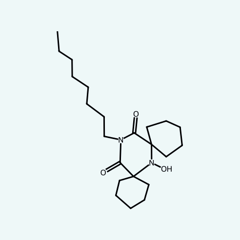 CCCCCCCCN1C(=O)C2(CCCCC2)N(O)C2(CCCCC2)C1=O